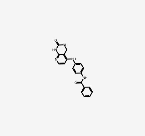 O=C1NCc2c(Nc3ccc(NC(=O)c4ccccc4)cc3)ccnc2N1